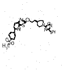 CC(C)c1noc(N2CCC(=CCOc3nc4ccc(-c5ccc(S(C)(=O)=O)cc5)nc4s3)CC2)n1